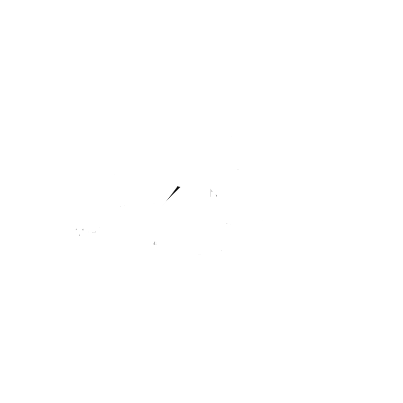 COC(=O)[C@@H](CN1C(=O)C2=C(CCCC2)C1=O)[C@@H](C)O